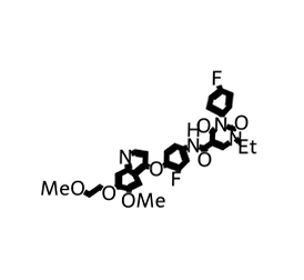 CCn1cc(C(=O)Nc2ccc(Oc3ccnc4cc(OCCOC)c(OC)cc34)c(F)c2)c(=O)n(-c2ccc(F)cc2)c1=O